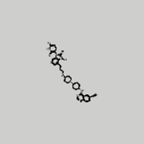 Cn1c(=O)n(C2CCC(=O)NC2=O)c2cccc(CCCOC3CCN([C@H]4CC[C@@H](Nc5ncnc6ccc(C#N)cc56)CC4)CC3)c21